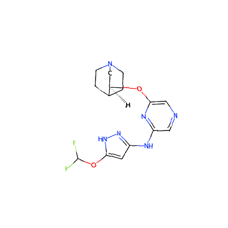 FC(F)Oc1cc(Nc2cncc(O[C@@H]3CN4CCC3CC4)n2)n[nH]1